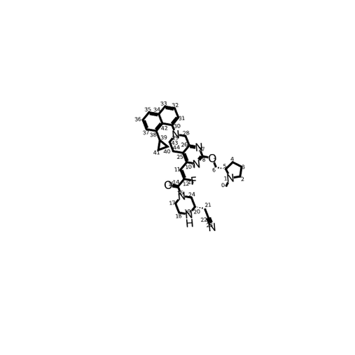 CN1CCC[C@H]1COc1nc(C=C(F)C(=O)N2CCN[C@@H](CC#N)C2)c2c(n1)CN(c1cccc3cccc(C4CC4)c13)CC2